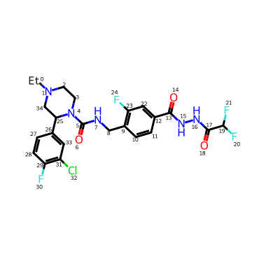 CCN1CCN(C(=O)NCc2ccc(C(=O)NNC(=O)C(F)F)cc2F)C(c2ccc(F)c(Cl)c2)C1